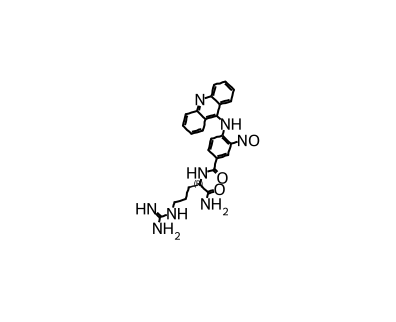 N=C(N)NCCC[C@@H](NC(=O)c1ccc(Nc2c3ccccc3nc3ccccc23)c(N=O)c1)C(N)=O